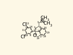 CN(C)CCC[C@]1(c2cc(Cl)cc(Cl)c2)OCc2ccccc21